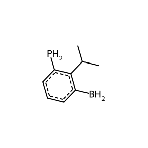 Bc1cccc(P)c1C(C)C